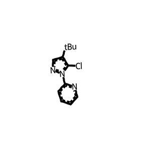 CC(C)(C)c1cnn(-c2ccccn2)c1Cl